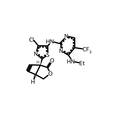 CCNc1nc(Nc2sc([C@]34C#C[C@H]3COC4=O)nc2Cl)ncc1C(F)(F)F